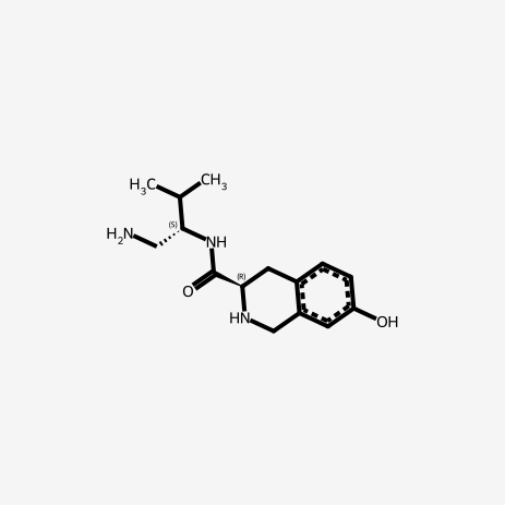 CC(C)[C@@H](CN)NC(=O)[C@H]1Cc2ccc(O)cc2CN1